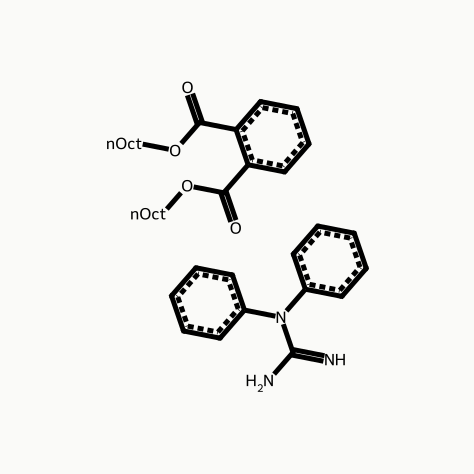 CCCCCCCCOC(=O)c1ccccc1C(=O)OCCCCCCCC.N=C(N)N(c1ccccc1)c1ccccc1